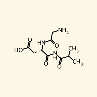 CC(C)C(=O)NC(=O)[C@H](CC(=O)O)NC(=O)CN